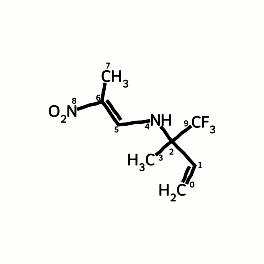 C=CC(C)(N/C=C(\C)[N+](=O)[O-])C(F)(F)F